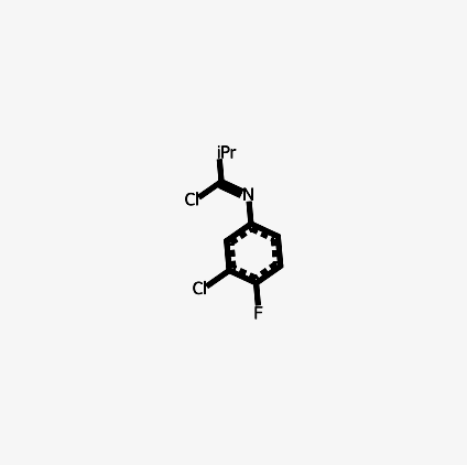 CC(C)/C(Cl)=N/c1ccc(F)c(Cl)c1